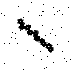 c1cc(-c2cccc(-c3cccc4c3sc3ccccc34)c2)cc(-c2ncnc3c2oc2ccc(-c4ccc5cc(-c6ccc7ccccc7c6)ccc5c4)cc23)c1